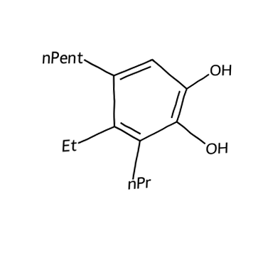 CCCCCc1cc(O)c(O)c(CCC)c1CC